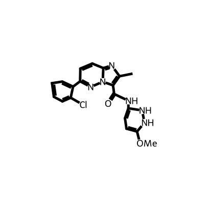 COC1=CC=C(NC(=O)c2c(C)nc3ccc(-c4ccccc4Cl)nn23)NN1